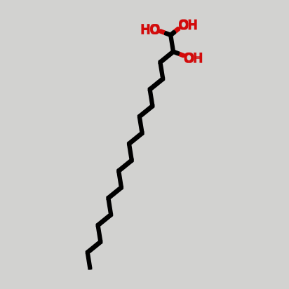 CCCCCCCCCCCCCCCCC(O)C(O)O